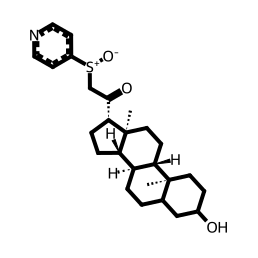 C[C@]12CC[C@H]3[C@@H](CCC4CC(O)CC[C@@]43C)[C@@H]1CC[C@@H]2C(=O)C[S+]([O-])c1ccncc1